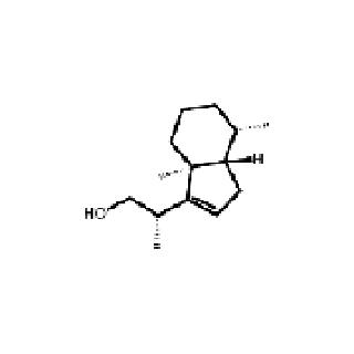 C[C@H](CO)C1=CC[C@H]2[C@@H](C)CCC[C@]12C